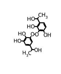 CC(O)c1cc(O)c(O)c(OOc2c(O)ccc(C(C)O)c2O)c1